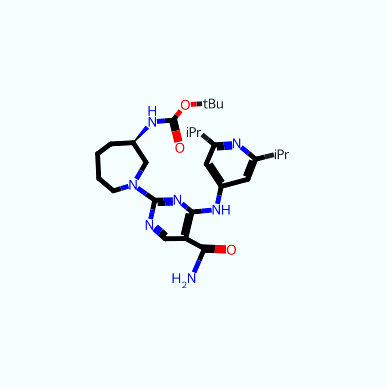 CC(C)c1cc(Nc2nc(N3CCCC[C@@H](NC(=O)OC(C)(C)C)C3)ncc2C(N)=O)cc(C(C)C)n1